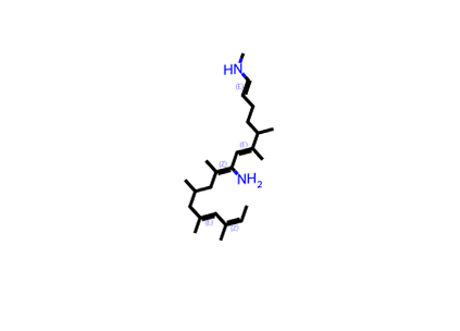 C/C=C(C)\C=C(/C)CC(C)C/C(C)=C(N)/C=C(\C)C(C)CC/C=C/NC